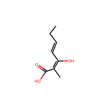 CC/C=C/C(O)=C(/C)C(=O)O